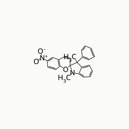 CN1c2ccccc2C(C)(c2ccccc2)C12C=Cc1cc([N+](=O)[O-])ccc1O2